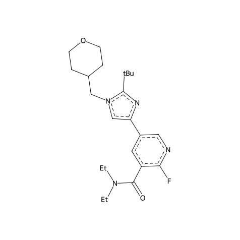 CCN(CC)C(=O)c1cc(-c2cn(CC3CCOCC3)c(C(C)(C)C)n2)cnc1F